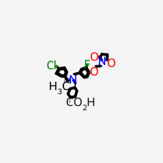 C[C@@H](c1ccc(Cl)cc1)N(Cc1ccc(OCCN2C(=O)CCC2=O)c(F)c1)C[C@H]1CC[C@H](C(=O)O)CC1